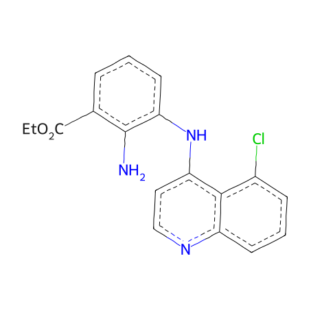 CCOC(=O)c1cccc(Nc2ccnc3cccc(Cl)c23)c1N